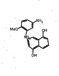 COc1ccc(N)cc1N.Oc1cccc2c(O)cccc12